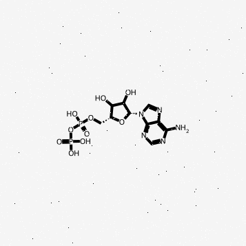 Nc1ncnc2c1ncn2[C@@H]1O[C@H](COP(=O)(O)OP(=O)(O)O)C(O)C1O